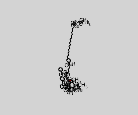 CC(=O)O[C@H]1C(=O)[C@@]2(C)[C@H]([C@H](OC(=O)c3ccccc3)[C@]3(O)C[C@H](OC(=O)[C@H](OC(=O)CCCC(=O)Nc4ccc(CCCCCCCCCCCCCCCCCCOP(=O)([O-])OCC[N+](C)(C)C)cc4)[C@@H](NC(=O)c4ccccc4)c4ccccc4)C(C)=C1C3(C)C)[C@]1(OC(C)=O)CO[C@@H]1C[C@@H]2O